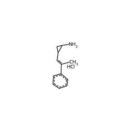 CC(=CC1CC1N)c1ccccc1.Cl